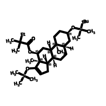 CCC(C)(C)C(=O)O[C@H]1C[C@H]2[C@@H](CC[C@@H]3C[C@H](O[Si](C)(C)C(C)(C)C)CC[C@@]32C)[C@@H]2CC=C(O[Si](C)(C)C)[C@@]12C